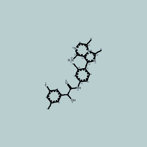 Cc1cc(F)cc(C(O)C(=O)Nc2ccc(-c3nc(C)n4c(C)cnc(N)c34)c(C)c2)c1